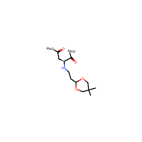 COC(=O)C[C@H](NCCC1OCC(C)(C)CO1)C(=O)OC